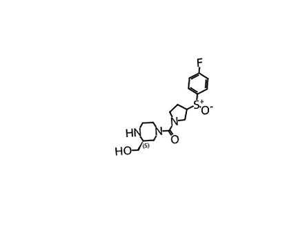 O=C(N1CCC([S+]([O-])c2ccc(F)cc2)C1)N1CCN[C@H](CO)C1